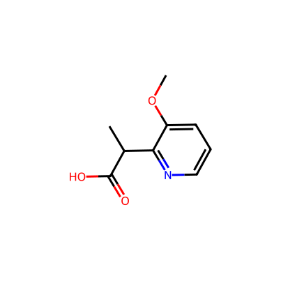 COc1cccnc1C(C)C(=O)O